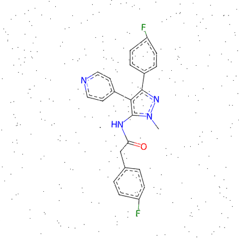 Cn1nc(-c2ccc(F)cc2)c(-c2ccncc2)c1NC(=O)Cc1ccc(F)cc1